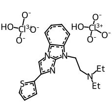 CCN(CC)CCn1c2ccccc2n2cc(-c3cccs3)nc12.[O-][Cl+3]([O-])([O-])O.[O-][Cl+3]([O-])([O-])O